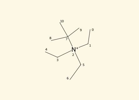 CC[N+](CC)(CC)C(C)(C)C